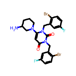 NC1CCCN(c2cc(=O)n(Cc3cc(F)ccc3Br)c(=O)n2Cc2cc(F)ccc2Br)C1